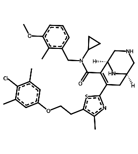 COc1cccc(CN(C(=O)C2=C(c3nc(C)c(CCOc4cc(C)c(Cl)c(C)c4)s3)C[C@@H]3CNC[C@H]2N3)C2CC2)c1C